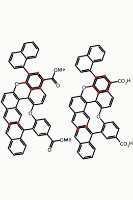 COC(=O)c1ccc(Oc2ccc3ccccc3c2-c2c(Oc3ccc(C(=O)OC)cc3-c3cccc4ccccc34)ccc3ccccc23)c(-c2cccc3ccccc23)c1.O=C(O)c1ccc(Oc2ccc3ccccc3c2-c2c(Oc3ccc(C(=O)O)cc3-c3cccc4ccccc34)ccc3ccccc23)c(-c2cccc3ccccc23)c1